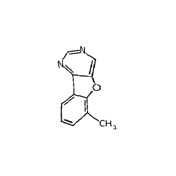 Cc1cccc2c1oc1cncnc12